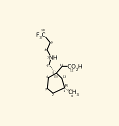 C[C@@H]1CCC[C@@](CNCCC(F)(F)F)(CC(=O)O)C1